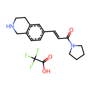 O=C(/C=C/c1ccc2c(c1)CCNC2)N1CCCC1.O=C(O)C(F)(F)F